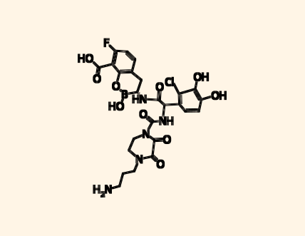 NCCCN1CCN(C(=O)NC(C(=O)N[C@H]2Cc3ccc(F)c(C(=O)O)c3OB2O)c2ccc(O)c(O)c2Cl)C(=O)C1=O